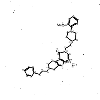 COc1ccccc1N1CCN(CCn2cnc3sc4c(c3c2=O)CCN(CCCc2ccccc2)C4)CC1.Cl.Cl